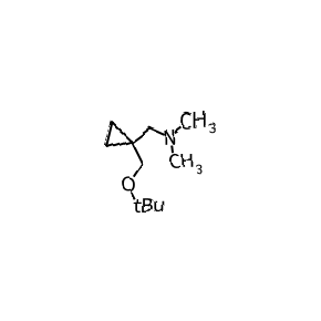 CN(C)CC1(COC(C)(C)C)CC1